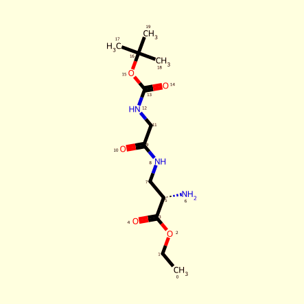 CCOC(=O)[C@@H](N)CNC(=O)CNC(=O)OC(C)(C)C